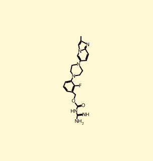 Cc1cn2cc(N3CCN(c4cccc(COC(=O)NC(=N)N)c4F)CC3)ccc2n1